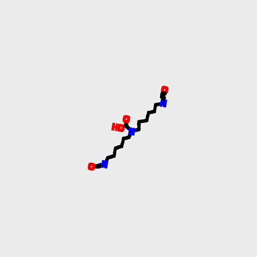 O=C=NCCCCCCN(CCCCCCN=C=O)C(=O)O